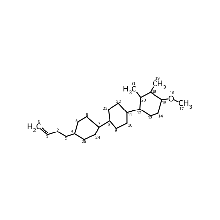 C=CCCC1CCC(C2CCC(C3CCC(OC)C(C)C3C)CC2)CC1